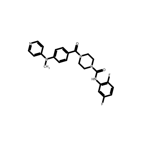 CN(c1ccncc1)c1ccc(C(=O)N2CCN(C(=O)Nc3cc(F)ccc3F)CC2)cc1